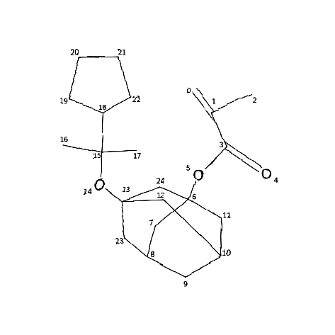 C=C(C)C(=O)OC12CC3CC(C1)CC(OC(C)(C)C1CCCC1)(C3)C2